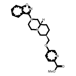 COC(=O)c1ccc(OC[C@@H]2CC[C@H]3CN(c4noc5ccccc45)CCN3C2)cn1